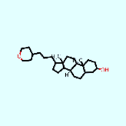 CC12CCC3[C@@H](CCC4CC(O)CCC43C)C1CCC2CCCC1CCOCC1